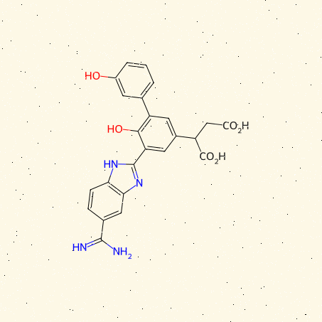 N=C(N)c1ccc2[nH]c(-c3cc(C(CC(=O)O)C(=O)O)cc(-c4cccc(O)c4)c3O)nc2c1